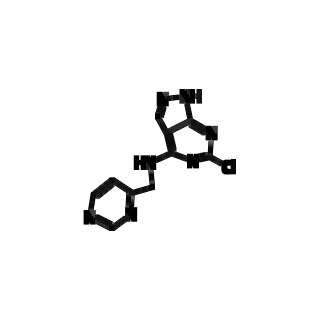 Clc1nc(NCc2ccncn2)c2cn[nH]c2n1